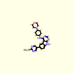 CSc1ncc(-c2ccc3[nH]c4ncnc(N[C@H]5CC[C@H](N6CCOCC6)CC5)c4c3c2)cn1